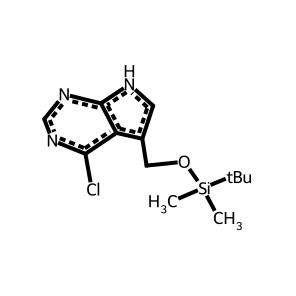 CC(C)(C)[Si](C)(C)OCc1c[nH]c2ncnc(Cl)c12